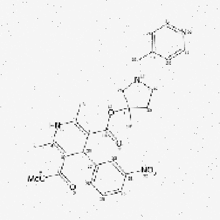 COC(=O)C1=C(C)NC(C)=C(C(=O)OC2(C)CCN(Cc3ccncc3)C2)C1c1cccc([N+](=O)[O-])c1